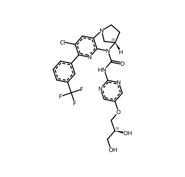 O=C(Nc1ncc(OC[C@@H](O)CO)cn1)N1c2nc(-c3cccc(C(F)(F)F)c3)c(Cl)cc2N2CC[C@H]1C2